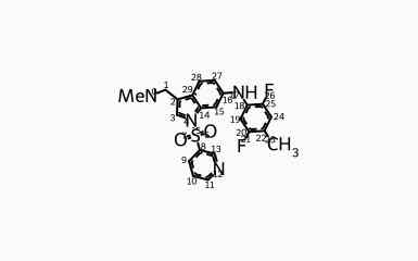 CNCc1cn(S(=O)(=O)c2cccnc2)c2cc(Nc3cc(F)c(C)cc3F)ccc12